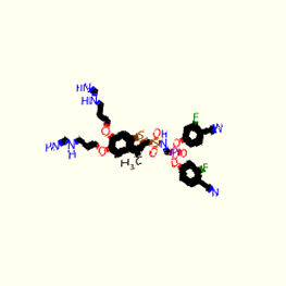 Cc1c(S(=O)(=O)NCP(=O)(Oc2ccc(C#N)c(F)c2)Oc2ccc(C#N)c(F)c2)sc2cc(OCCCNC=N)c(OCCCNC=N)cc12